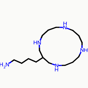 NCCCCC1CNCCCNCCCNCCCNC1